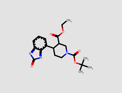 CCOC(=O)C1CN(C(=O)OC(C)(C)C)CCC1c1cccc2c1=NC(=O)N=2